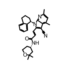 Cc1cc(C)c2c(C#N)c(C=CC(=O)N[C@H]3CCOC(C)(C)C3)n([C@@H]3CCCc4ccccc43)c2n1